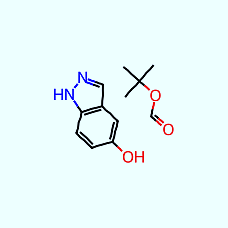 CC(C)(C)OC=O.Oc1ccc2[nH]ncc2c1